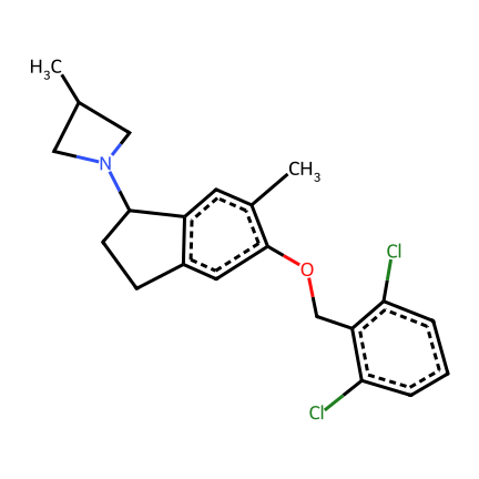 Cc1cc2c(cc1OCc1c(Cl)cccc1Cl)CCC2N1CC(C)C1